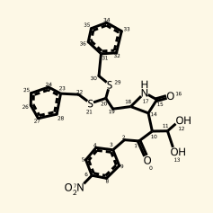 O=C(Cc1ccc([N+](=O)[O-])cc1)C(C(O)O)C1C(=O)NC1CC(SCc1ccccc1)SCc1ccccc1